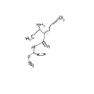 C=C/C=C(/C(=O)NC(=O)OC(C)(C)C)C(C)N